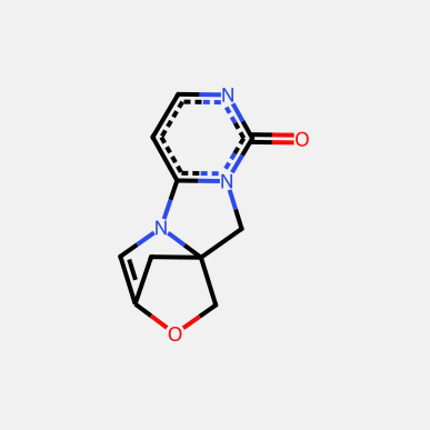 O=c1nccc2n1CC13COC(=CN21)C3